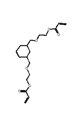 C=CC(=O)OCCOCC1CCCC(COCCOC(=O)C=C)C1